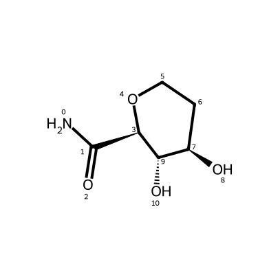 NC(=O)[C@H]1OCC[C@@H](O)[C@@H]1O